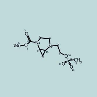 CC(C)(C)OC(=O)N1CCN(CCOS(C)(=O)=O)C2CC21